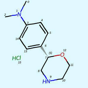 CN(C)c1ccc([C@H]2CNCCO2)cc1.Cl